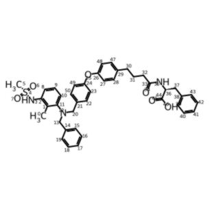 Cc1c(NS(C)(=O)=O)cccc1N(Cc1ccccc1)Cc1ccc(Oc2ccc(CCCC(=O)N[C@@H](Cc3ccccc3)C(=O)O)cc2)cc1